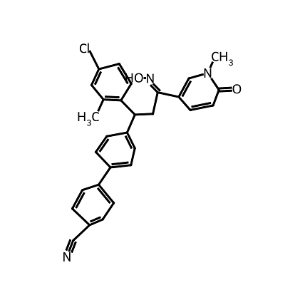 Cc1cc(Cl)ccc1C(C/C(=N\O)c1ccc(=O)n(C)c1)c1ccc(-c2ccc(C#N)cc2)cc1